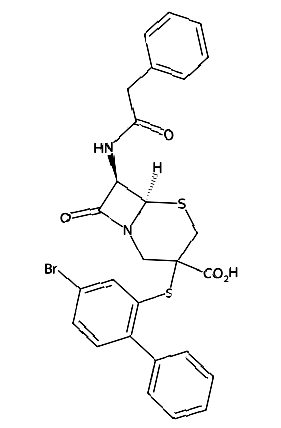 O=C(Cc1ccccc1)N[C@@H]1C(=O)N2CC(Sc3cc(Br)ccc3-c3ccccc3)(C(=O)O)CS[C@H]12